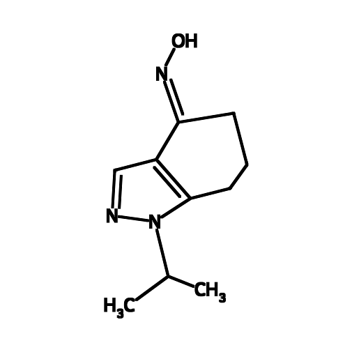 CC(C)n1ncc2c1CCC/C2=N\O